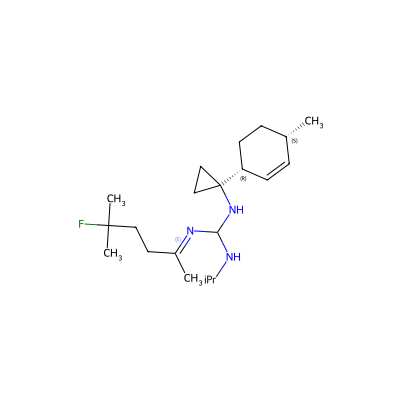 C/C(CCC(C)(C)F)=N\C(NC(C)C)NC1([C@H]2C=C[C@@H](C)CC2)CC1